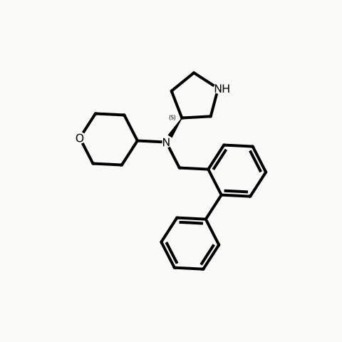 c1ccc(-c2ccccc2CN(C2CCOCC2)[C@H]2CCNC2)cc1